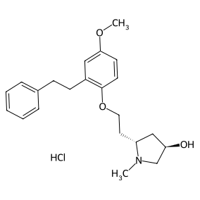 COc1ccc(OCC[C@@H]2C[C@@H](O)CN2C)c(CCc2ccccc2)c1.Cl